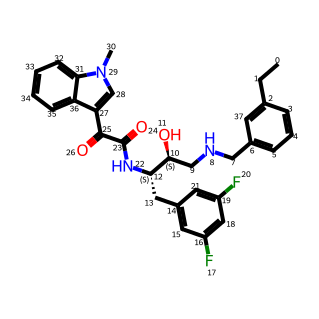 CCc1cccc(CNC[C@H](O)[C@H](Cc2cc(F)cc(F)c2)NC(=O)C(=O)c2cn(C)c3ccccc23)c1